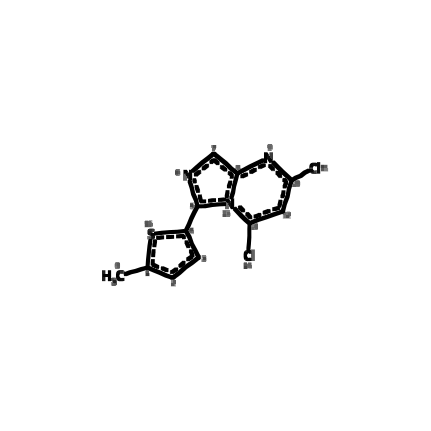 Cc1ccc(-c2ncc3nc(Cl)cc(Cl)n23)s1